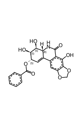 O=C(O[C@H]1C=C2c3cc4c(c(O)c3C(=O)N[C@H]2[C@H](O)[C@@H]1O)OCO4)c1ccccc1